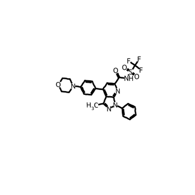 Cc1nn(-c2ccccc2)c2nc(C(=O)NS(=O)(=O)C(F)(F)F)cc(-c3ccc(N4CCOCC4)cc3)c12